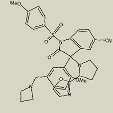 COc1ccc(S(=O)(=O)N2C(=O)C(c3cc(CN4CCC4)ccc3OC)(N3CCCC3c3ncco3)c3cc(C#N)ccc32)cc1